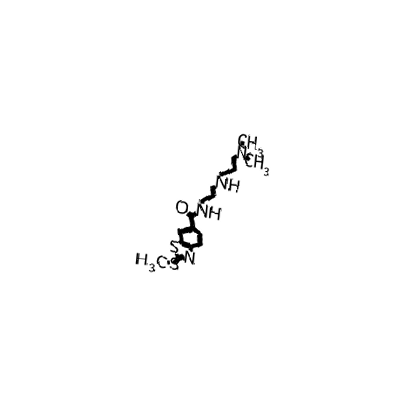 CSc1nc2ccc(C(=O)NCCCNCCCN(C)C)cc2s1